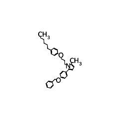 CCCCCCc1ccc(OCCCn2c(C)ccc2-c2ccc(OCc3ccccc3)cc2)cc1